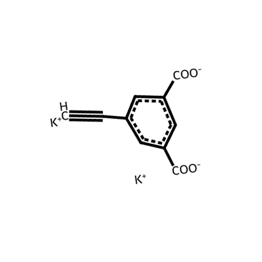 C#Cc1cc(C(=O)[O-])cc(C(=O)[O-])c1.[K+].[K+]